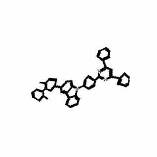 Cc1ccccc1-c1cc(-c2ccc3c(c2)c2ccccc2n3-c2ccc(-c3nc(-c4ccccc4)cc(-c4ccccc4)n3)cc2)ccc1C